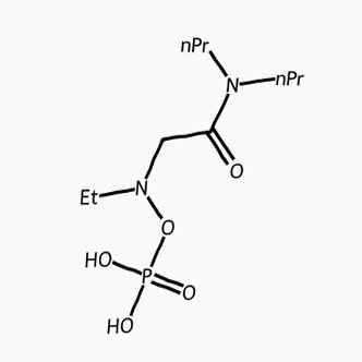 CCCN(CCC)C(=O)CN(CC)OP(=O)(O)O